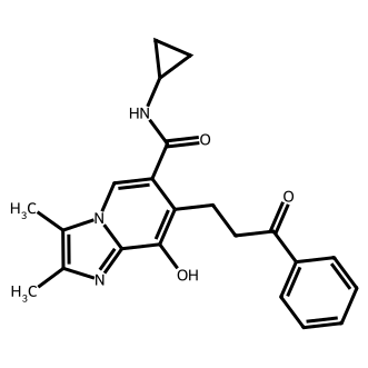 Cc1nc2c(O)c(CCC(=O)c3ccccc3)c(C(=O)NC3CC3)cn2c1C